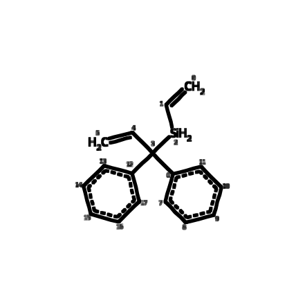 C=C[SiH2]C(C=C)(c1ccccc1)c1ccccc1